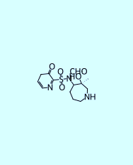 C[C@]1(O)CNCCCC1N([C]=O)S(=O)(=O)C1=NC=CCC1=O